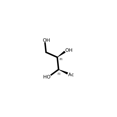 CC(=O)[C@@H](O)[C@H](O)CO